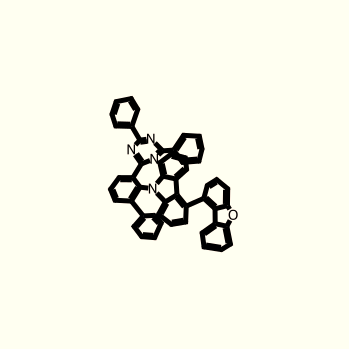 c1ccc(-c2nc(-c3ccccc3)nc(-c3cccc(-c4ccccc4)c3-n3c4ccccc4c4c(-c5cccc6oc7ccccc7c56)cccc43)n2)cc1